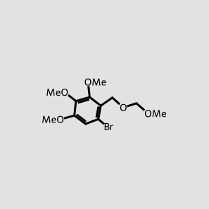 COCOCc1c(Br)cc(OC)c(OC)c1OC